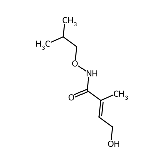 C/C(=C\CO)C(=O)NOCC(C)C